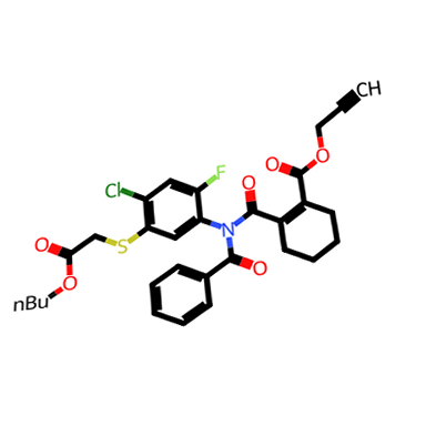 C#CCOC(=O)C1=C(C(=O)N(C(=O)c2ccccc2)c2cc(SCC(=O)OCCCC)c(Cl)cc2F)CCCC1